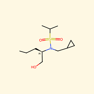 CCC[C@H](CO)N(CC1CC1)S(=O)(=O)C(C)C